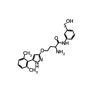 Cc1cccc(C)c1-c1cc(OCCC(N)C(=O)Nc2cccc(SO)c2)n[nH]1